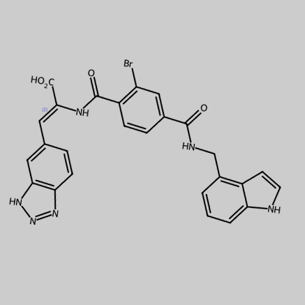 O=C(O)/C(=C/c1ccc2nn[nH]c2c1)NC(=O)c1ccc(C(=O)NCc2cccc3[nH]ccc23)cc1Br